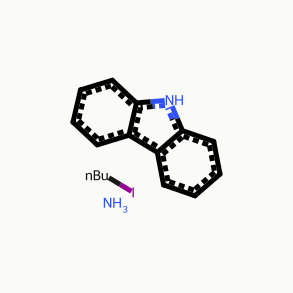 CCCCI.N.c1ccc2c(c1)[nH]c1ccccc12